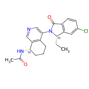 CC[C@H]1c2cc(Cl)ccc2C(=O)N1c1cncc2c1CCC[C@@H]2NC(C)=O